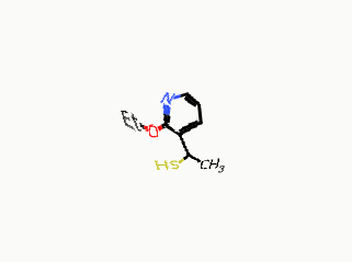 CCOc1ncccc1C(C)S